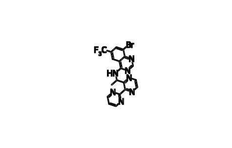 CC(Nc1ncnc2c(Br)cc(C(F)(F)F)cc12)c1nccnc1-c1ncccn1